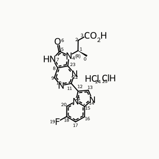 C[C@H](CC(=O)O)n1c(=O)[nH]c2cnc(-c3cnc4ccc(F)cn34)nc21.Cl.Cl